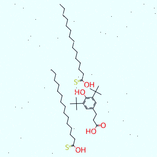 CC(C)(C)c1cc(CCC(=O)O)cc(C(C)(C)C)c1O.CCCCCCCCCCCCCCC(O)=S.CCCCCCCCCCCCCCC(O)=S